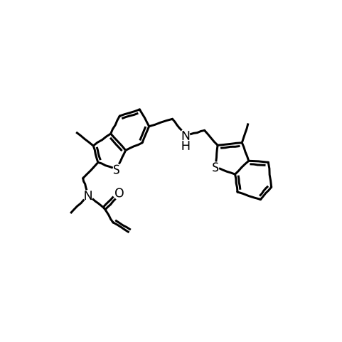 C=CC(=O)N(C)Cc1sc2cc(CNCc3sc4ccccc4c3C)ccc2c1C